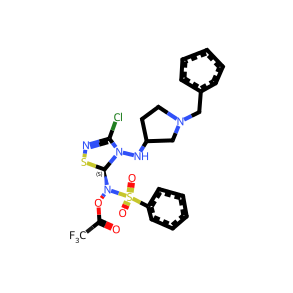 O=C(ON([C@H]1SN=C(Cl)N1NC1CCN(Cc2ccccc2)C1)S(=O)(=O)c1ccccc1)C(F)(F)F